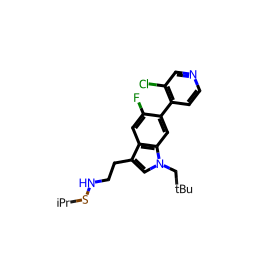 CC(C)SNCCc1cn(CC(C)(C)C)c2cc(-c3ccncc3Cl)c(F)cc12